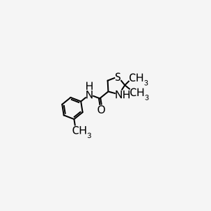 Cc1cccc(NC(=O)C2CSC(C)(C)N2)c1